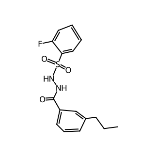 CCCc1cccc(C(=O)NNS(=O)(=O)c2ccccc2F)c1